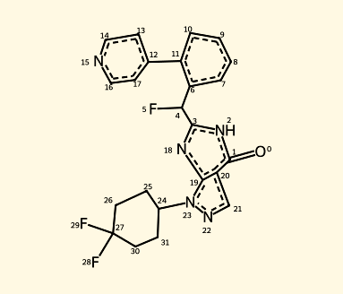 O=c1[nH]c(C(F)c2ccccc2-c2ccncc2)nc2c1cnn2C1CCC(F)(F)CC1